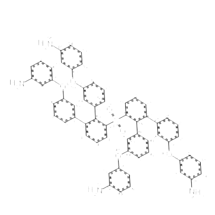 Nc1cccc(Oc2cccc(-c3cccc(S(=O)(=O)c4cccc(-c5cccc(Oc6cccc(N)c6)c5)c4-c4cccc(Oc5cccc(N)c5)c4)c3-c3cccc(Oc4cccc(N)c4)c3)c2)c1